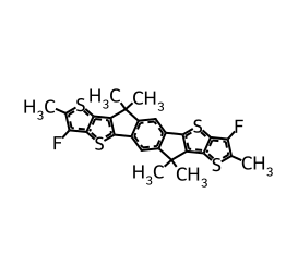 Cc1sc2c3c(sc2c1F)-c1cc2c(cc1C3(C)C)-c1sc3c(F)c(C)sc3c1C2(C)C